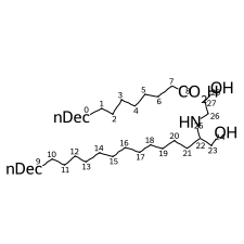 CCCCCCCCCCCCCCCCCC(=O)O.CCCCCCCCCCCCCCCCCCCCCCC(CO)NCCO